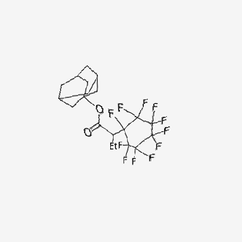 CCC(C(=O)OC12CC3CC(CC(C3)C1)C2)C1(F)C(F)(F)C(F)(F)C(F)(F)C(F)(F)C1(F)F